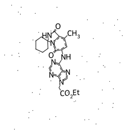 CCOC(=O)Cn1cnc2c(Nc3cc(C)c4n(c3=O)C3(CCCCC3)NC4=O)ncnc21